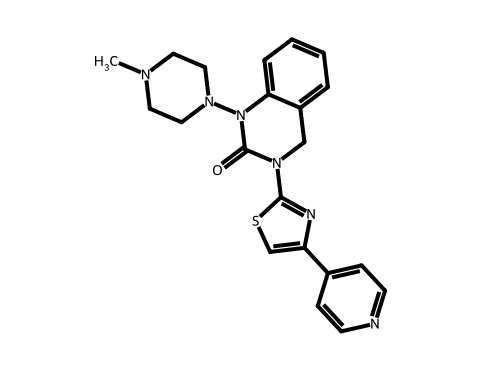 CN1CCN(N2C(=O)N(c3nc(-c4ccncc4)cs3)Cc3ccccc32)CC1